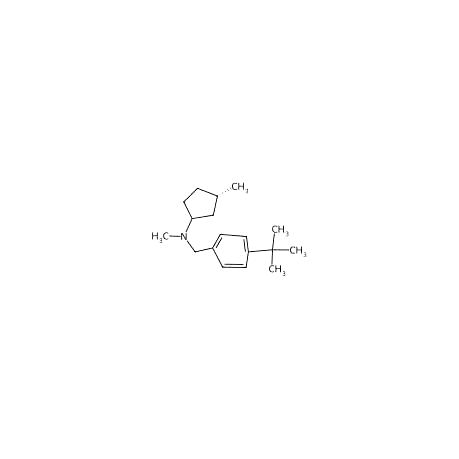 C[C@H]1CCC(N(C)Cc2ccc(C(C)(C)C)cc2)C1